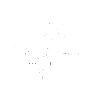 C=C(C)c1ccc(C)cc1-c1c(O)cc(CCCCC)cc1OP(C)(=O)N[C@@H](C)C(=O)OC(C)C